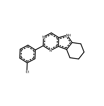 CCc1cccc(-c2ncc3[nH]c4c(c3n2)CCCC4)c1